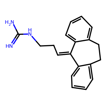 N=C(N)NCCC=C1c2ccccc2CCc2ccccc21